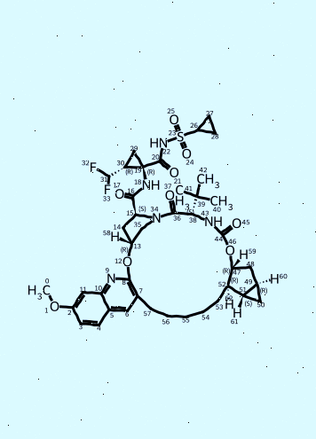 COc1ccc2cc3c(nc2c1)O[C@@H]1C[C@@H](C(=O)N[C@]2(C(=O)NS(=O)(=O)C4CC4)C[C@H]2C(F)F)N(C1)C(=O)[C@H](C(C)(C)C)NC(=O)O[C@@H]1C[C@H]2C[C@@H]2[C@H]1CCCCC3